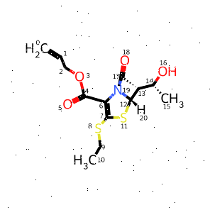 C=CCOC(=O)C1=C(SCC)S[C@H]2[C@@H]([C@@H](C)O)C(=O)N12